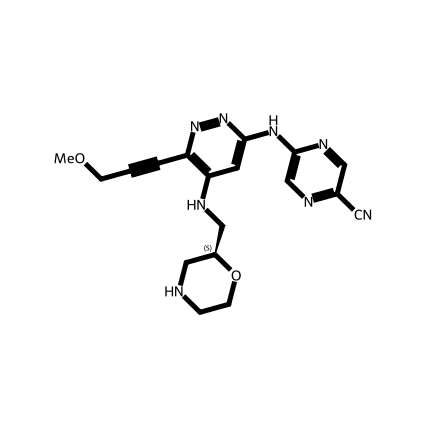 COCC#Cc1nnc(Nc2cnc(C#N)cn2)cc1NC[C@@H]1CNCCO1